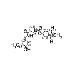 COc1cc(CNC(=O)[C@H]2CCN(C(=O)O[C@H]3CC[C@@H](C(C)(C)C)CC3)C2)ccc1O